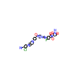 CC1N(c2ccc(C#N)c(Cl)c2)CCC12CCN(c1ccc(C(=O)N3CCN(C4CN(c5cc6c(cc5F)C(=O)N(C5CCC(=O)NC5=O)C6=O)C4)CC3)cc1)CC2